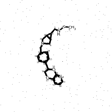 CSNCC1C2CN(Cc3ccc(C4COc5cccnc5O4)cc3)CC12